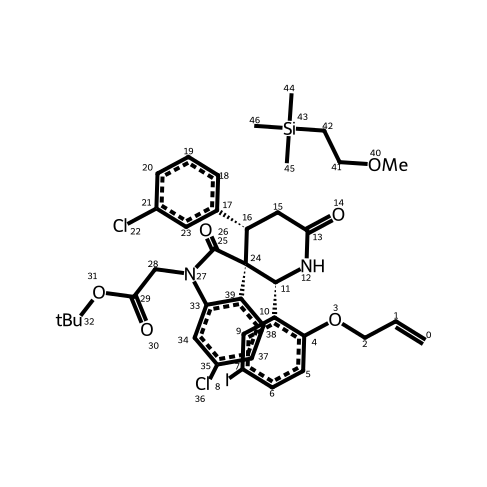 C=CCOc1ccc(I)cc1[C@H]1NC(=O)C[C@@H](c2cccc(Cl)c2)[C@]12C(=O)N(CC(=O)OC(C)(C)C)c1cc(Cl)ccc12.COCC[Si](C)(C)C